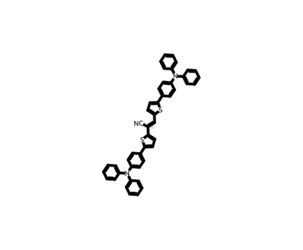 N#C/C(=C\c1ccc(-c2ccc(N(c3ccccc3)c3ccccc3)cc2)s1)c1ccc(-c2ccc(N(c3ccccc3)c3ccccc3)cc2)s1